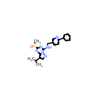 CC(C)c1cnn2c(NCc3ccc(-c4ccccc4)nc3)nc([S+](C)[O-])nc12